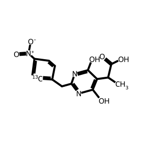 CC(C(=O)O)c1c(O)nc(Cc2ccc([N+](=O)[O-])c[13cH]2)nc1O